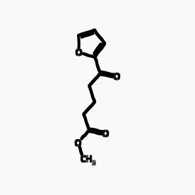 COC(=O)CCCC(=O)c1ccco1